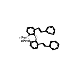 CCCCCc1cccc(C=Cc2ccccc2)c1Oc1c(C=Cc2ccccc2)cccc1CCCCC